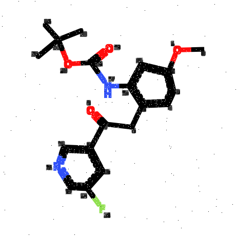 COc1ccc(CC(=O)c2cncc(F)c2)c(NC(=O)OC(C)(C)C)c1